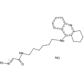 Cl.O=C(/C=N/O)NCCCCCCNc1c2c(nc3ccccc13)CCCC2